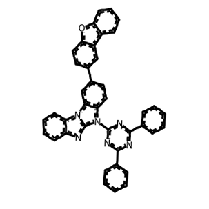 c1ccc(-c2nc(-c3ccccc3)nc(-n3c4ccc(-c5ccc6oc7ccccc7c6c5)cc4n4c5ccccc5nc34)n2)cc1